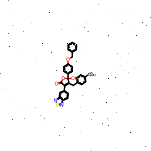 CC(C)(C)c1ccc(CC2=C(c3ccc4nsnc4c3)C(=O)OC2(O)c2ccc(OCc3ccccc3)cc2)cc1